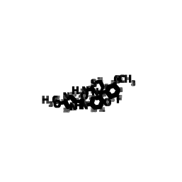 COc1cc(F)c2c(c1)[C@]1(CCSC(N)=N1)c1cc(NC(=O)c3cnc(OC)cn3)ccc1O2